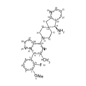 COc1cccc(-c2c(C)nc(N3CCC4(CC3)Cc3ncccc3[C@H]4N)c3ccnn23)c1F